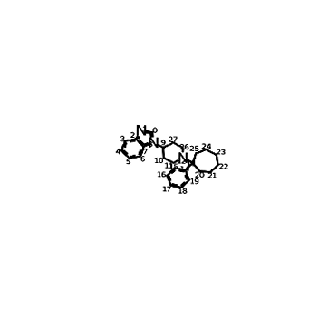 [c]1nc2ccccc2n1C1CCN(C2(c3ccccc3)CCCCCC2)CC1